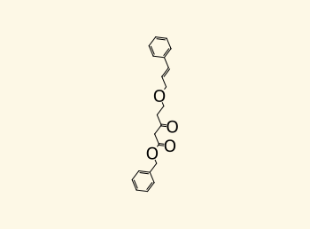 O=C(CCOC/C=C/c1ccccc1)CC(=O)OCc1ccccc1